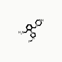 NCc1cccc(CN2CCNCC2)c1N1CC[C@H](CF)C1